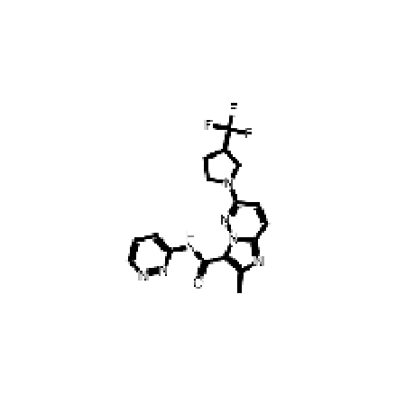 Cc1nc2ccc(N3CCC(C(F)(F)F)C3)nn2c1C(=O)Nc1cccnn1